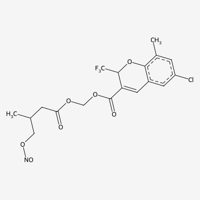 Cc1cc(Cl)cc2c1OC(C(F)(F)F)C(C(=O)OCOC(=O)CC(C)CON=O)=C2